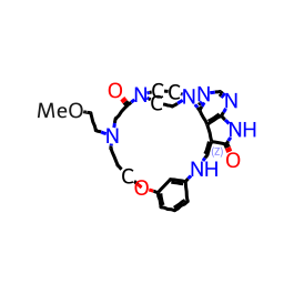 COCCN1CCCOc2cccc(c2)N/C=C2\C(=O)Nc3ncnc(c32)N2CCN(CC2)C(=O)C1